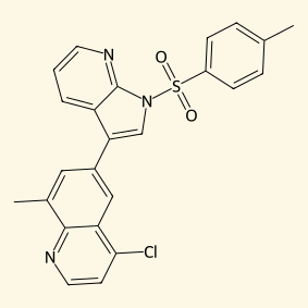 Cc1ccc(S(=O)(=O)n2cc(-c3cc(C)c4nccc(Cl)c4c3)c3cccnc32)cc1